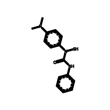 CN(C)c1ccc(N(S)C(=O)Nc2ccccc2)cc1